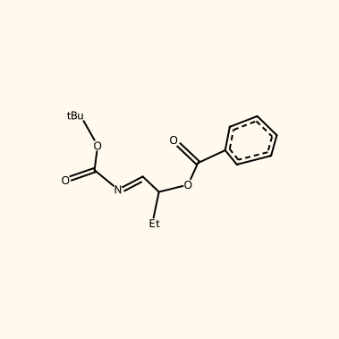 CCC(C=NC(=O)OC(C)(C)C)OC(=O)c1ccccc1